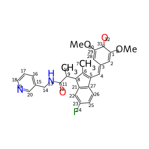 COC1=CC(=CC2=C(C)C(C(C)C(=O)NCc3cccnc3)c3cc(F)ccc32)C=C(OC)C1=O